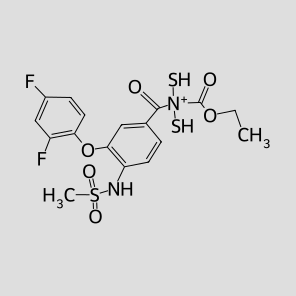 CCOC(=O)[N+](S)(S)C(=O)c1ccc(NS(C)(=O)=O)c(Oc2ccc(F)cc2F)c1